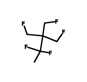 CC(F)(F)C(CF)(CF)CF